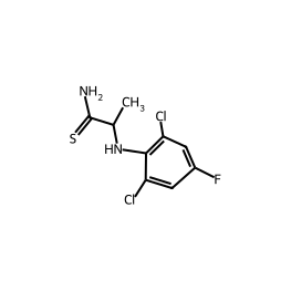 CC(Nc1c(Cl)cc(F)cc1Cl)C(N)=S